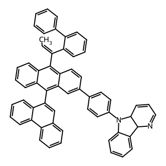 C/C=C(\c1ccccc1-c1ccccc1)c1c2ccccc2c(-c2cc3ccccc3c3ccccc23)c2cc(-c3ccc(N4c5ccccc5C5N=CC=CC54)cc3)ccc12